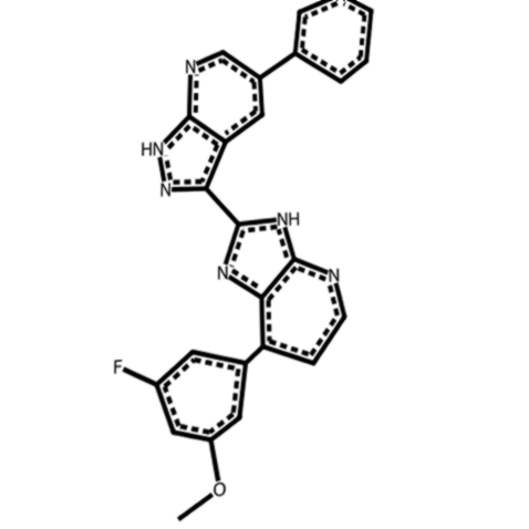 COc1cc(F)cc(-c2ccnc3[nH]c(-c4n[nH]c5ncc(-c6cccnc6)cc45)nc23)c1